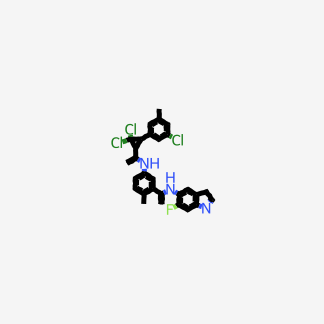 C=C(Nc1cc2c(cc1F)N=CC2)c1cc(NC(=C)C2C(c3cc(C)cc(Cl)c3)C2(Cl)Cl)ccc1C